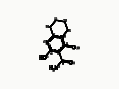 NC(=O)c1c(O)nc2n(c1=O)CCCC2